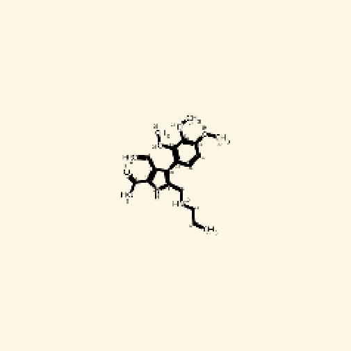 C=Cc1c(C(=O)O)[nH]c(CNCCC)c1-c1ccc(OC)c(OC)c1OC